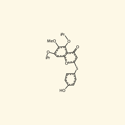 COc1c(OC(C)C)cc2oc(Sc3ccc(O)cc3)cc(=O)c2c1OC(C)C